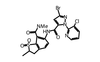 CNC(=O)c1c(NC(=O)c2cc(Br)nn2-c2ncccc2Cl)ccc2c1S(=O)(=O)C(C)C2